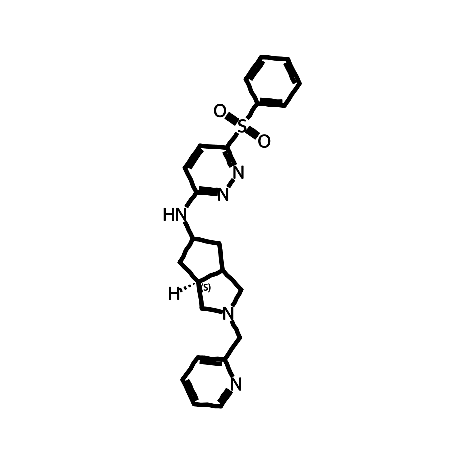 O=S(=O)(c1ccccc1)c1ccc(NC2CC3CN(Cc4ccccn4)C[C@H]3C2)nn1